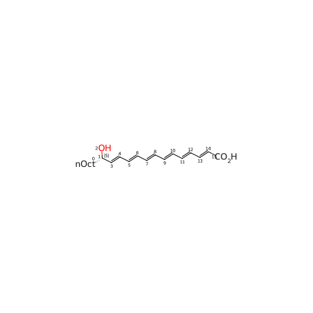 CCCCCCCC[C@H](O)C=CC=CC=CC=CC=CC=CC(=O)O